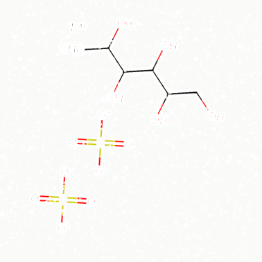 O=CC(O)C(O)C(O)C(O)CO.O=S(=O)([O-])[O-].O=S(=O)([O-])[O-].[Ti+4]